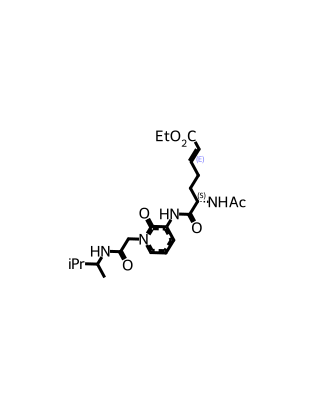 CCOC(=O)/C=C/CC[C@H](NC(C)=O)C(=O)Nc1cccn(CC(=O)NC(C)C(C)C)c1=O